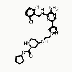 Nc1ncc(-c2cnn(CCNC3CCN[C@H](C(=O)OC4CCCC4)C3)c2)nc1NCc1c(Cl)cccc1Cl